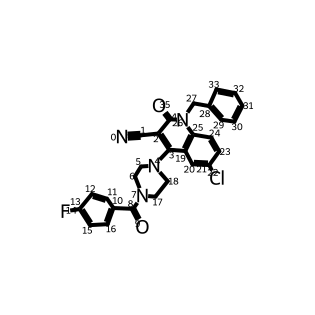 N#Cc1c(N2CCN(C(=O)c3ccc(F)cc3)CC2)c2cc(Cl)ccc2n(Cc2ccccc2)c1=O